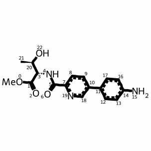 COC(=O)[C@@H](NC(=O)c1ccc(-c2ccc(N)cc2)cn1)[C@@H](C)O